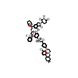 CC1(C)CCC(c2ccc(Cl)cc2)=C(CN2CCN(c3ccc(C(=O)NS(=O)(=O)c4ccc(N[C@H](CCN5CC6CCC(C5)N6Cc5cc(Br)c6c(c5)CN(C5CCC(=O)NC5=O)C6=O)CSc5ccccc5)c(S(=O)(=O)C(F)(F)F)c4)cc3)CC2)C1